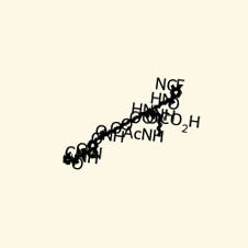 CC(=O)NCCCC[C@H](NC(=O)[C@H](CCCCNC(=O)c1ccc(F)c(C#N)c1)NC(=O)CCOCCOCCOCCNC(=O)COc1ccc2c(C(=O)NCC(=O)N3CCC[C@H]3C#N)ccnc2c1)C(=O)O